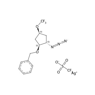 O=S(=O)([O-])C(F)(F)F.[Ag+].[N-]=[N+]=N[C@H]1C[C@H](OC(F)(F)F)C[C@@H]1OCc1ccccc1